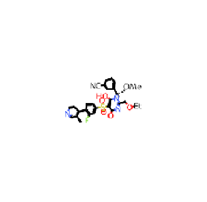 CCOCc1nc(=O)c(S(=O)(=O)c2ccc(-c3ccncc3C)c(F)c2)c(O)n1[C@@H](COC)c1cccc(C#N)c1